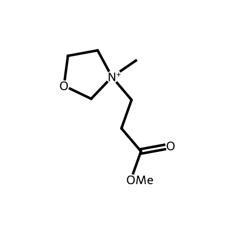 COC(=O)CC[N+]1(C)CCOC1